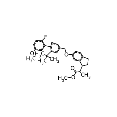 COC(=O)C(C)C1CCc2ccc(OCc3ccc(-c4cc(OC)ccc4F)c(C(C)(C)C)c3)cc21